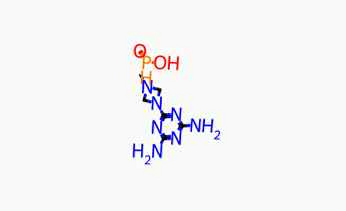 Nc1nc(N)nc(N2CN(C[PH](=O)O)C2)n1